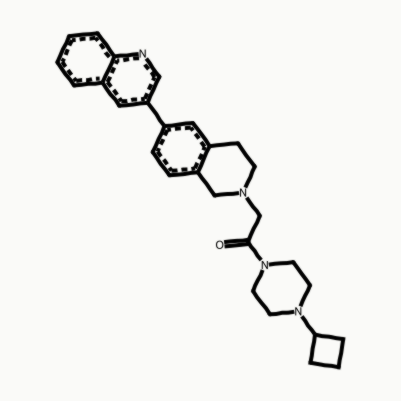 O=C(CN1CCc2cc(-c3cnc4ccccc4c3)ccc2C1)N1CCN(C2CCC2)CC1